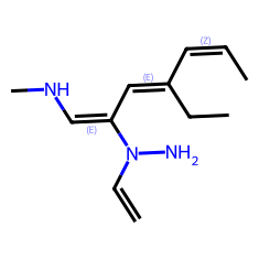 C=CN(N)C(/C=C(/C=C\C)CC)=C/NC